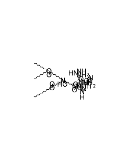 CCCCCCCCCCCOC(=O)CCCCCN(CCCCCCCC(=O)OC(CCCCCCCC)CCCCCCCC)CC(O)CCCCNC(=O)[C@H](Cc1cnc[nH]1)NC(=O)[C@H](CCCNC(=N)N)NC(=O)[C@H](N)Cc1cnc[nH]1